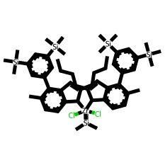 CCCCC1=Cc2c(ccc(C)c2-c2cc([Si](C)(C)C)cc([Si](C)(C)C)c2)[CH]1[Zr]([Cl])([Cl])([CH]1C(CCCC)=Cc2c1ccc(C)c2-c1cc([Si](C)(C)C)cc([Si](C)(C)C)c1)[SiH](C)C